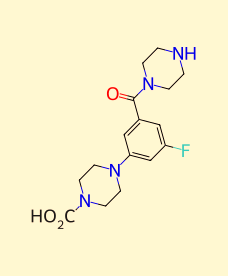 O=C(O)N1CCN(c2cc(F)cc(C(=O)N3CCNCC3)c2)CC1